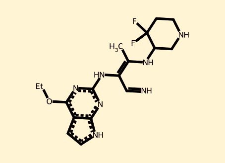 CCOc1nc(N/C(C=N)=C(\C)NC2CNCCC2(F)F)nc2[nH]ccc12